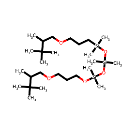 CC(COCCCO[Si](C)(C)O[Si](C)(C)O[Si](C)(C)CCCOCC(C)C(C)(C)C)C(C)(C)C